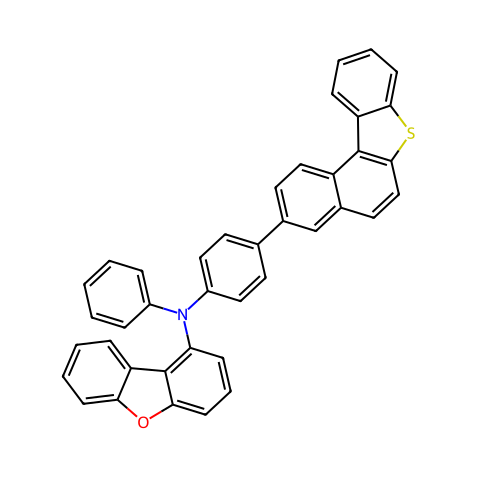 c1ccc(N(c2ccc(-c3ccc4c(ccc5sc6ccccc6c54)c3)cc2)c2cccc3oc4ccccc4c23)cc1